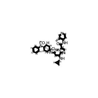 O=C(Nc1ccncc1F)c1cnc2c(NC3CC3)cc(N[C@]3(Cl)CC[C@@H](N(C(=O)O)c4ccccc4)CC3)nn12